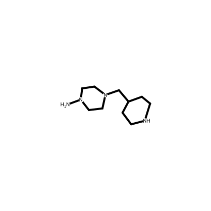 NN1CCN(CC2CCNCC2)CC1